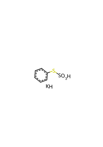 O=S(=O)(O)Sc1ccccc1.[KH]